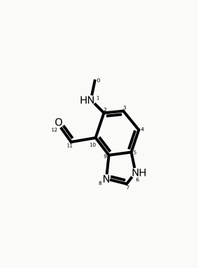 CNc1ccc2[nH]cnc2c1C=O